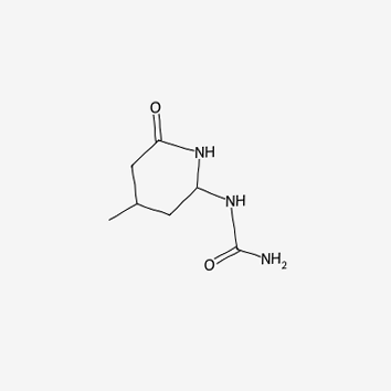 CC1CC(=O)NC(NC(N)=O)C1